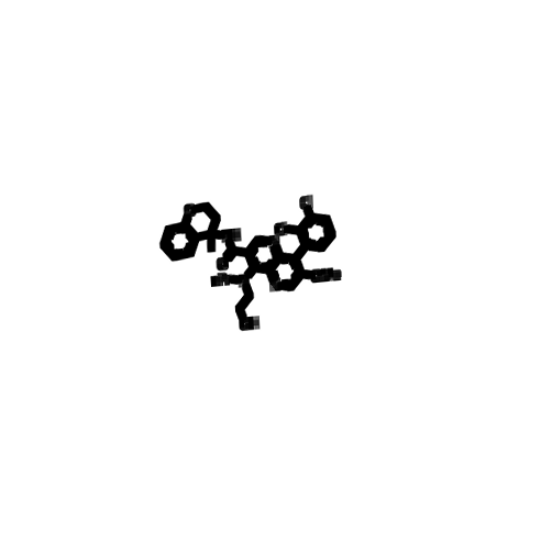 CCCN(CCO)c1c(C(=O)NC2(C)CCOc3ccccc32)cnc2c(-c3cccc(Cl)c3Cl)c(OC)cnc12